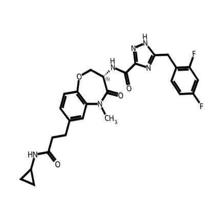 CN1C(=O)[C@@H](NC(=O)c2n[nH]c(Cc3ccc(F)cc3F)n2)COc2ccc(CCC(=O)NC3CC3)cc21